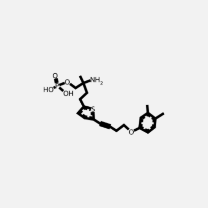 Cc1ccc(OCCC#Cc2ccc(CCC(C)(N)COP(=O)(O)O)s2)cc1C